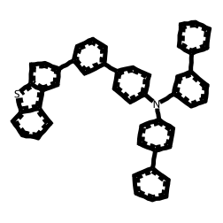 c1ccc(-c2ccc(N(c3ccc(-c4cccc(-c5ccc6sc7ccccc7c6c5)c4)cc3)c3cccc(-c4ccccc4)c3)cc2)cc1